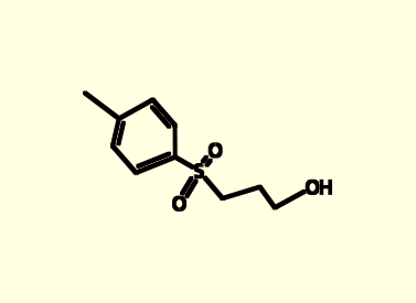 Cc1ccc(S(=O)(=O)CCCO)cc1